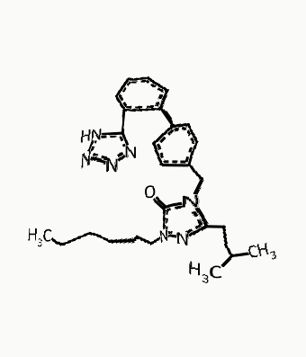 CCCCCCn1nc(CC(C)C)n(Cc2ccc(-c3ccccc3-c3nnn[nH]3)cc2)c1=O